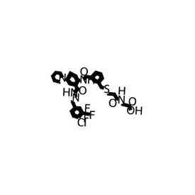 O=C(O)CNC(=O)CCSCc1cccc(C(=O)Nc2ccc(N3CCCCC3)cc2C(=O)NN=Cc2ccc(Cl)c(C(F)(F)F)c2)c1